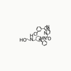 O=C(Nc1ccccc1N1CCCC(CNCCO)C1)c1ccn2ncc(-c3cccc(Cl)c3)c2n1